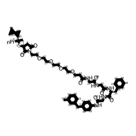 CCCC(C)(SC1CC(=O)N(CCOCCOCCOCCOCCC(=O)NCC(=O)NCC(=O)N[C@@H](Cc2ccccc2)C(=O)NCC(=O)Nc2ccc(Cc3cccc(C)c3)cc2)C1=O)[C@@H]1CC12CC2